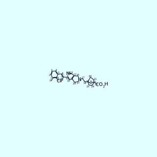 Cc1cccc(/C=C(\F)c2cc3c(cn2)CN(CCC24CCC(C(=O)O)(CC2)C4)CC3)c1Cl